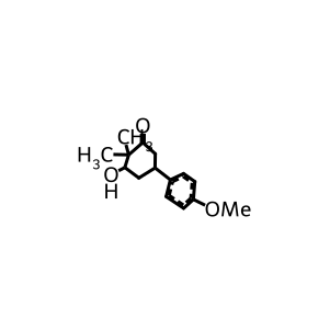 COc1ccc(C2CC(=O)C(C)(C)C(O)C2)cc1